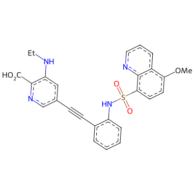 CCNc1cc(C#Cc2ccccc2NS(=O)(=O)c2ccc(OC)c3cccnc23)cnc1C(=O)O